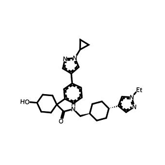 CCn1cc([C@H]2CC[C@H](CNC(=O)C3(c4cccc(-c5cnn(C6CC6)c5)c4)CCC(O)CC3)CC2)cn1